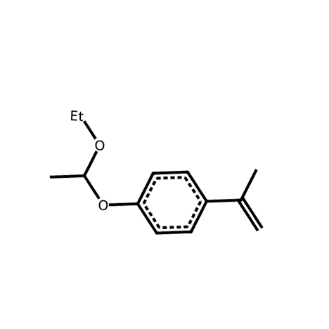 C=C(C)c1ccc(OC(C)OCC)cc1